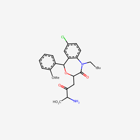 COc1ccccc1C1OC(CC(=O)C(N)C(=O)O)C(=O)N(CC(C)(C)C)c2ccc(Cl)cc21